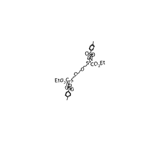 CCOC(=O)/C(=N/OS(=O)(=O)c1ccc(C)cc1)SCCOCCOCCS/C(=N\OS(=O)(=O)c1ccc(C)cc1)C(=O)OCC